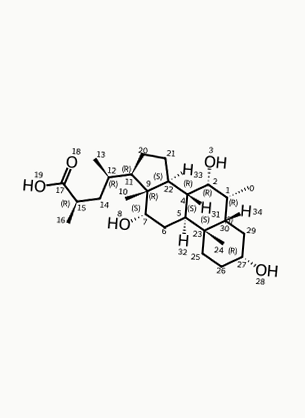 C[C@H]1[C@@H](O)[C@@H]2[C@H](C[C@H](O)[C@]3(C)[C@@H]([C@H](C)C[C@@H](C)C(=O)O)CC[C@@H]23)[C@@]2(C)CC[C@@H](O)C[C@@H]12